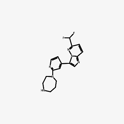 FC(F)c1ccc2ncc(-c3ccnc(N4CCCNCC4)c3)n2n1